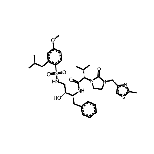 [CH2]c1nc(CN2CCN([C@H](C(=O)N[C@@H](Cc3ccccc3)[C@H](O)CNS(=O)(=O)c3ccc(OC)cc3CC(C)C)C(C)C)C2=O)cs1